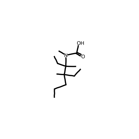 CCCC(C)(CC)C(C)(CC)N(C)C(=O)O